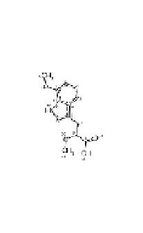 COc1cccc2c(C[C@H](OC)C(=O)O)c[nH]c12